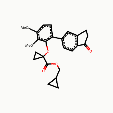 COc1ccc(-c2ccc3c(c2)CCC3=O)c(OC2(C(=O)OCC3CC3)CC2)c1OC